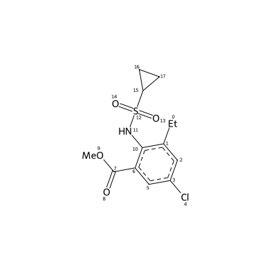 CCc1cc(Cl)cc(C(=O)OC)c1NS(=O)(=O)C1CC1